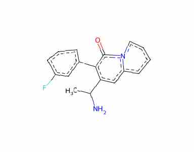 CC(N)c1cc2ccccn2c(=O)c1-c1cccc(F)c1